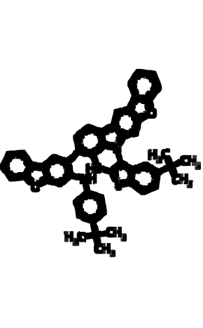 CC(C)(C)c1ccc(Nc2cc3oc4ccccc4c3cc2-c2ccc3c4cc5c(cc4n4c3c2Bc2sc3ccc(C(C)(C)C)cc3c2-4)oc2ccccc25)cc1